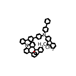 CC1(C)c2ccccc2-c2ccc(N(c3ccc(-c4ccccc4)cc3)c3ccc(-c4ccc(-c5ccccc5-n5c6cccc(-c7ccccc7)c6c6c(-c7cccc8ccccc78)cccc65)cc4)cc3)cc21